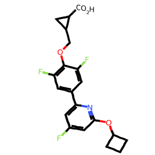 O=C(O)C1CC1COc1c(F)cc(-c2cc(F)cc(OC3CCC3)n2)cc1F